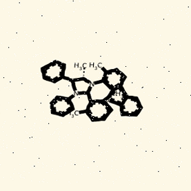 Cc1cccc(C)c1C1N(c2ccccc2)C(c2ccccc2)[C@H](C)N1c1c(C)ccc2c1oc1ccccc12